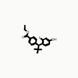 CCOC(=O)c1ccc(C(c2ccc(O)cc2F)C(C)(C)C)cc1